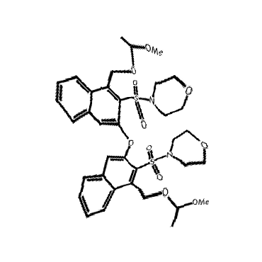 COC(C)OCc1c(S(=O)(=O)N2CCOCC2)c(Oc2cc3ccccc3c(COC(C)OC)c2S(=O)(=O)N2CCOCC2)cc2ccccc12